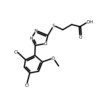 COc1cc(Cl)cc(Cl)c1-c1nnc(SCCC(=O)O)o1